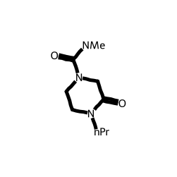 CCCN1CCN(C(=O)NC)CC1=O